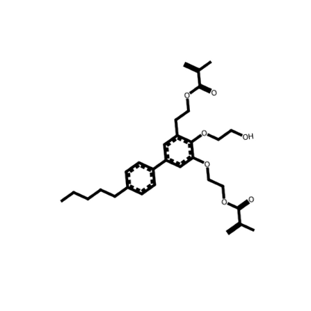 C=C(C)C(=O)OCCOc1cc(-c2ccc(CCCCC)cc2)cc(CCOC(=O)C(=C)C)c1OCCO